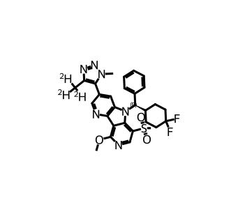 [2H]C([2H])([2H])c1nnn(C)c1-c1cnc2c3c(OC)ncc(S(C)(=O)=O)c3n([C@@H](c3ccccc3)C3CCC(F)(F)CC3)c2c1